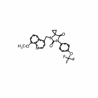 COc1cccc2c(CN3C(=O)N(c4ccc(OC(F)(F)F)cc4)C(=O)C34CC4)ccnc12